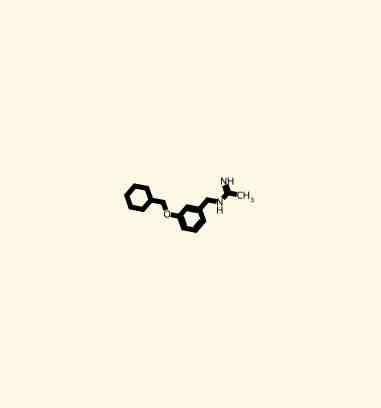 CC(=N)NCc1cccc(OCC2CCCCC2)c1